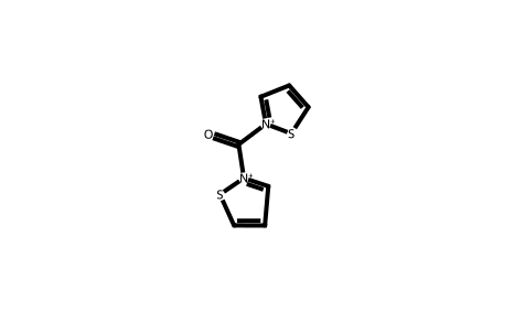 O=C([n+]1cccs1)[n+]1cccs1